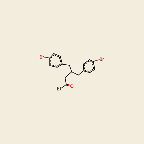 CCC(=O)CC(Cc1ccc(Br)cc1)Cc1ccc(Br)cc1